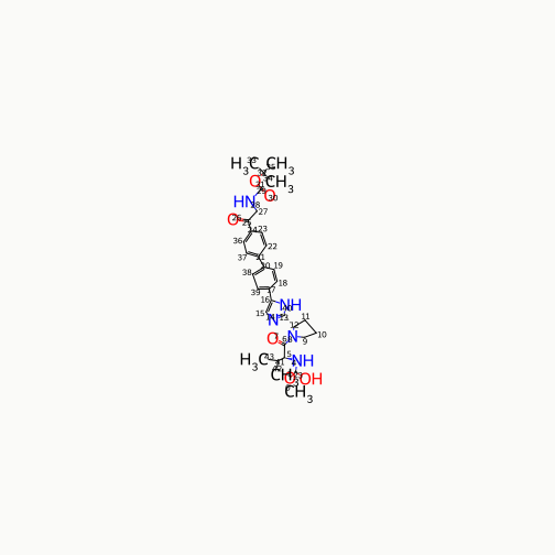 COC(O)N[C@H](C(=O)N1CCC[C@H]1c1ncc(-c2ccc(-c3ccc(C(=O)CNC(=O)OC(C)(C)C)cc3)cc2)[nH]1)C(C)C